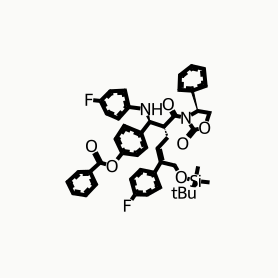 CC(C)(C)[Si](C)(C)OC/C(=C\C[C@@H](C(=O)N1C(=O)OC[C@@H]1c1ccccc1)[C@H](Nc1ccc(F)cc1)c1ccc(OC(=O)c2ccccc2)cc1)c1ccc(F)cc1